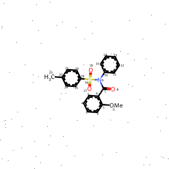 COc1ccccc1C(=O)N(c1ccccc1)S(=O)(=O)c1ccc(C)cc1